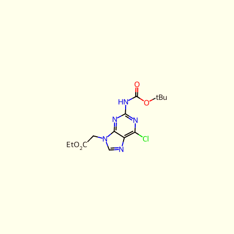 CCOC(=O)Cn1cnc2c(Cl)nc(NC(=O)OC(C)(C)C)nc21